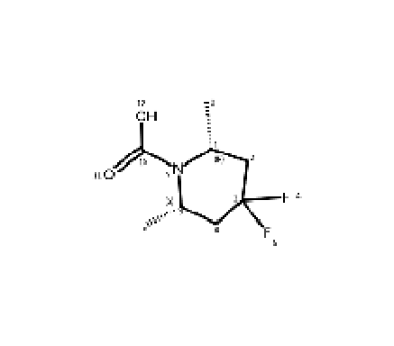 C[C@@H]1CC(F)(F)C[C@H](C)N1C(=O)O